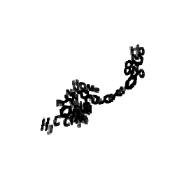 COc1cc(N2CCN(CC3CCN(C4CN(c5ccc6c(c5)C(=O)N(C5CCC(=O)NC5=O)C6=O)C4)CC3)CC2)c(-c2cnn(C)c2)cc1Nc1ncc(Br)c(Nc2ccc(C)c(C)c2P(=O)(OC)OC)n1